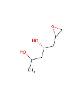 CC(O)C[C@H](O)CC1CO1